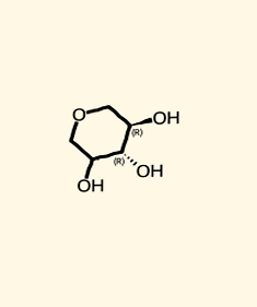 O[C]1COC[C@@H](O)[C@@H]1O